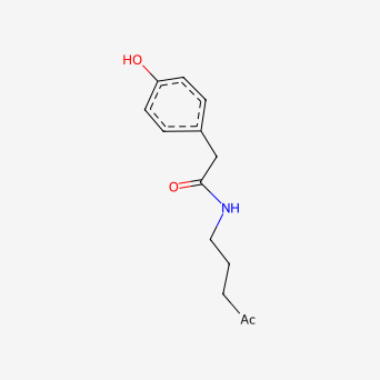 CC(=O)CCCNC(=O)Cc1ccc(O)cc1